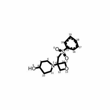 O=S(=O)(CC1(N2CCC(O)CC2)COC1)c1ccccc1